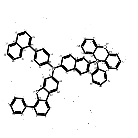 c1ccc(-c2cccc3c2sc2cc(N(c4ccc(-c5cccc6ccccc56)cc4)c4ccc5cc([Si]6(c7ccccc7)c7ccccc7Oc7ccccc76)ccc5c4)ccc23)cc1